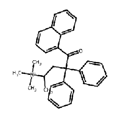 CC(CC(C(=O)c1cccc2ccccc12)(c1ccccc1)c1ccccc1)[N+](C)(C)C